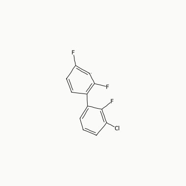 Fc1[c]c(F)c(-c2cccc(Cl)c2F)cc1